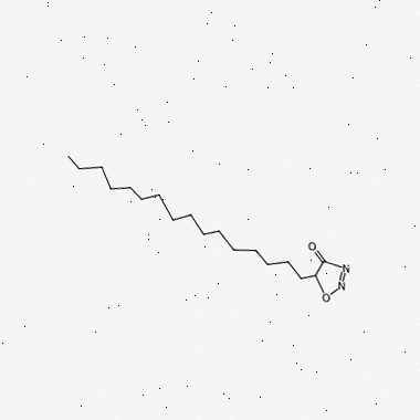 CCCCCCCCCCCCCCCCC1ON=NC1=O